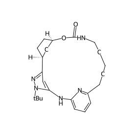 CC(C)(C)n1nc2cc1Nc1cccc(n1)CCCCCNC(=O)O[C@@H]1CC[C@H]2C1